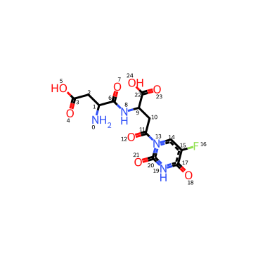 NC(CC(=O)O)C(=O)NC(CC(=O)n1cc(F)c(=O)[nH]c1=O)C(=O)O